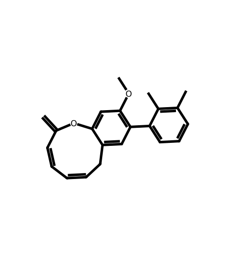 C=C1/C=C\C=C/Cc2cc(-c3cccc(C)c3C)c(OC)cc2O1